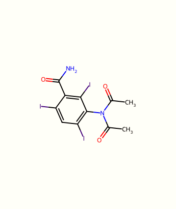 CC(=O)N(C(C)=O)c1c(I)cc(I)c(C(N)=O)c1I